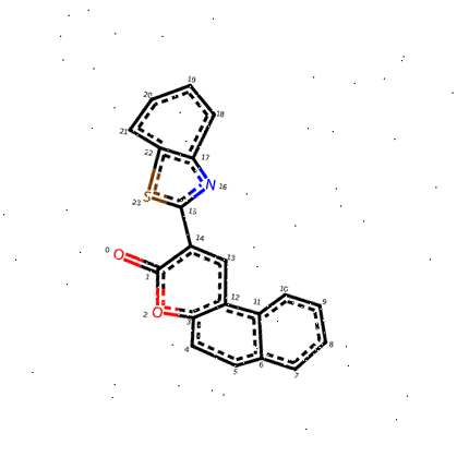 O=c1oc2ccc3ccccc3c2cc1-c1nc2ccccc2s1